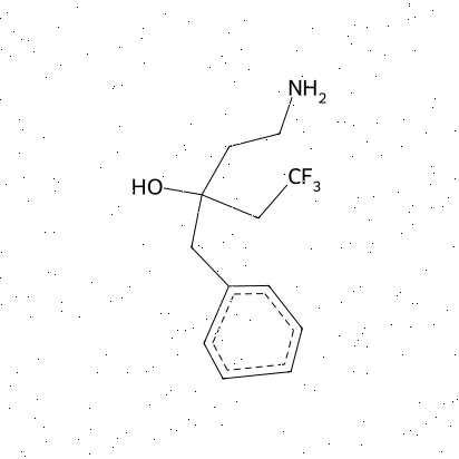 NCCC(O)(Cc1ccccc1)CC(F)(F)F